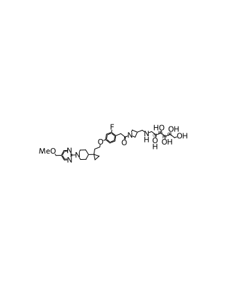 COCc1cnc(N2CCC(C3(CCOc4ccc(CC(=O)N5CC(CNC[C@H](O)[C@@H](O)[C@H](O)[C@H](O)CO)C5)c(F)c4)CC3)CC2)nc1